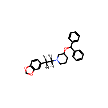 [2H]C([2H])(c1ccc2c(c1)OCO2)C([2H])([2H])N1CCCC(OC(c2ccccc2)c2ccccc2)C1